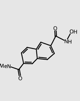 CNC(=O)c1ccc2cc(C(=O)NO)ccc2c1